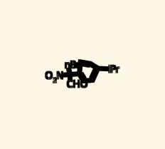 CCCCC(C=O)(c1ccc(C(C)C)cc1)[N+](=O)[O-]